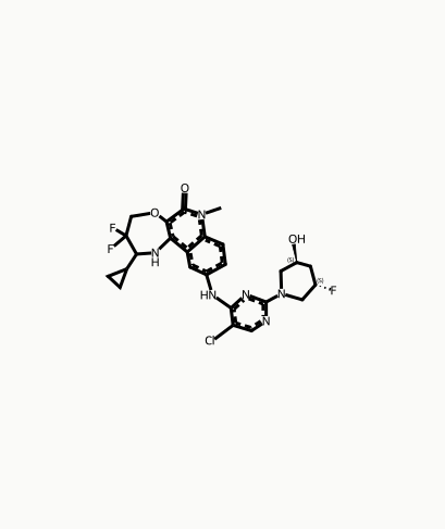 Cn1c(=O)c2c(c3cc(Nc4nc(N5C[C@@H](O)C[C@H](F)C5)ncc4Cl)ccc31)NC(C1CC1)C(F)(F)CO2